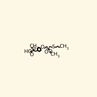 CCCCSCCN(CCOc1ccc(CC(OCC)C(=O)O)cc1)C(=O)OCC